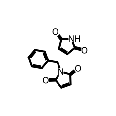 O=C1C=CC(=O)N1.O=C1C=CC(=O)N1Cc1ccccc1